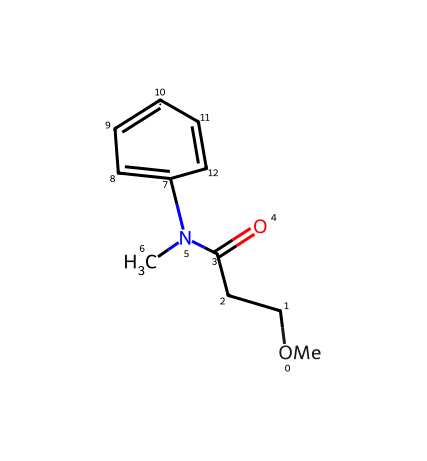 COCCC(=O)N(C)c1cc[c]cc1